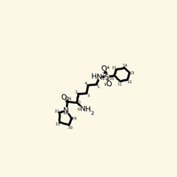 NC(CCCCNS(=O)(=O)C1CCCCC1)C(=O)N1CCCC1